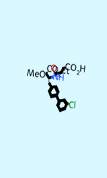 CCOC(=O)[C@H](OC)[C@@H](Cc1ccc(-c2cccc(Cl)c2)cc1)NC(=O)CCC(=O)O